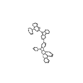 c1ccc(-c2cc(-n3c4ccccc4c4cc(-c5ccc6c7c8cccc9c8c(cc7n(-c7ccccc7)c6c5)Sc5ccccc5-9)ccc43)nc3ccccc23)cc1